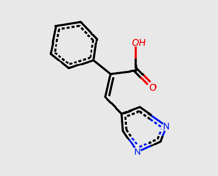 O=C(O)C(=Cc1cncnc1)c1ccccc1